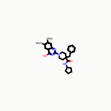 COc1cc2nc(N3CCC(Cc4ccccc4)(C(=O)NC4CCCC4)CC3)nc(O)c2cc1OC